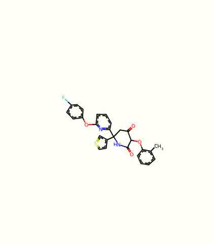 Cc1ccccc1OC1C(=O)CC(c2ccsc2)(c2cccc(Oc3ccc(F)cc3)n2)NC1=O